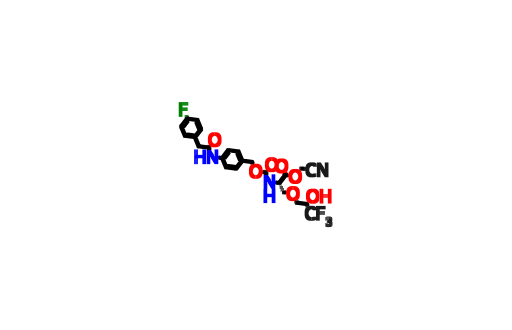 N#CCOC(=O)[C@H](COCC(O)C(F)(F)F)NC(=O)OCc1ccc(NC(=O)Cc2ccc(F)cc2)cc1